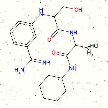 CC(NC(=O)C(CO)Nc1cccc(C(=N)N)c1)C(=O)NC1CCCCC1.Cl